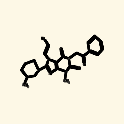 CCC=Cn1c(N2CCCC(N)C2)nc2c1c(=O)n(CC(=O)c1ccccc1)c(=O)n2C